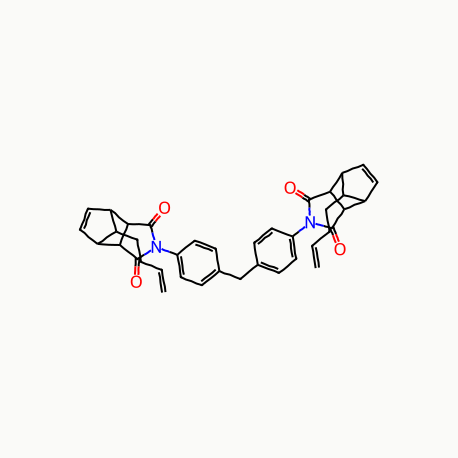 C=CCCC1C2C=CC1C1C(=O)N(c3ccc(Cc4ccc(N5C(=O)C6C7C=CC(C7CCC=C)C6C5=O)cc4)cc3)C(=O)C21